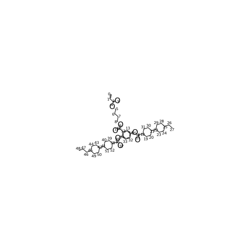 C=CC(=O)OCCCCOC(=O)c1cc(OC(=O)C2CCC(C3CCC(CC)CC3)CC2)ccc1OC(=O)C1CCC(C2CCC(CCC)CC2)CC1